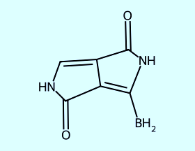 BC1=C2C(=O)NC=C2C(=O)N1